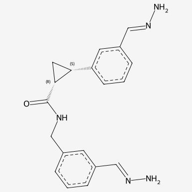 NN=Cc1cccc(CNC(=O)[C@@H]2C[C@@H]2c2cccc(C=NN)c2)c1